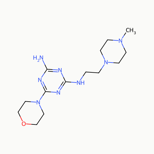 CN1CCN(CCNc2nc(N)nc(N3CCOCC3)n2)CC1